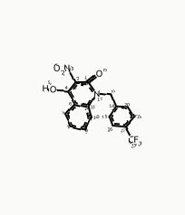 O=c1c([N+](=O)[O-])c(O)c2ccccc2n1Cc1ccc(C(F)(F)F)cc1